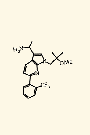 COC(C)(C)Cn1cc(C(C)N)c2ccc(-c3ccccc3C(F)(F)F)nc21